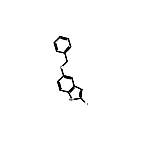 [2H]c1cc2cc(OCc3ccccc3)ccc2[nH]1